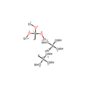 CCC[Si](OC)(OC)OC.CCO[Si](C)(OCC)OCC.CO[Si](C)(OC)OC